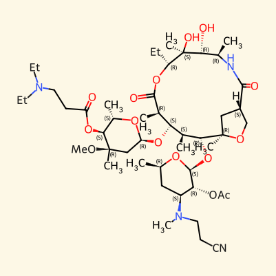 CC[C@H]1OC(=O)[C@H](C)[C@@H](O[C@H]2C[C@@](C)(OC)[C@@H](OC(=O)CCN(CC)CC)[C@H](C)O2)[C@H](C)[C@@H](O[C@@H]2O[C@H](C)C[C@H](N(C)CCC#N)[C@H]2OC(C)=O)[C@@]2(C)C[C@@H](CO2)C(=O)N[C@H](C)[C@@H](O)[C@]1(C)O